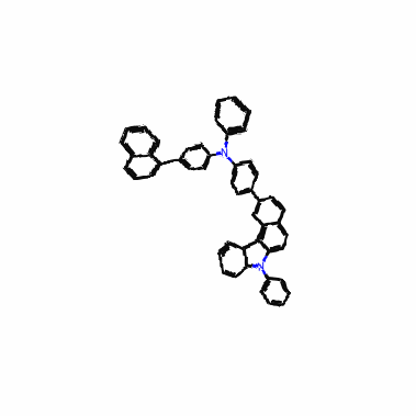 C1=CC2c3c(ccc4ccc(-c5ccc(N(c6ccccc6)c6ccc(-c7cccc8ccccc78)cc6)cc5)cc34)N(c3ccccc3)C2C=C1